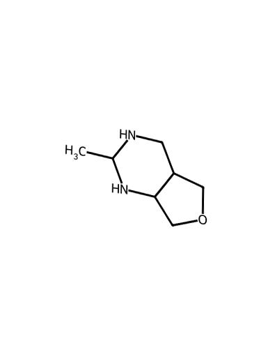 CC1NCC2COCC2N1